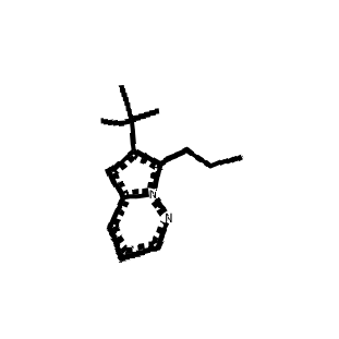 CCCc1c(C(C)(C)C)cc2cccnn12